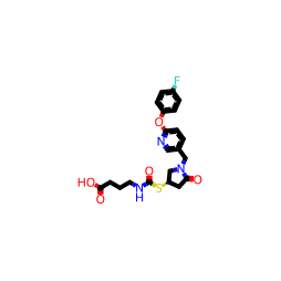 O=C(O)CCCNC(=O)S[C@@H]1CC(=O)N(Cc2ccc(Oc3ccc(F)cc3)nc2)C1